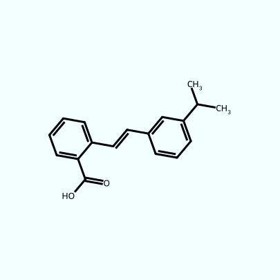 CC(C)c1cccc(/C=C/c2ccccc2C(=O)O)c1